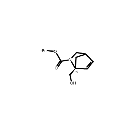 CC(C)(C)OC(=O)N1CC2C=C[C@@]1(CO)C2